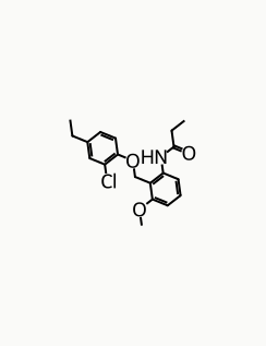 CCC(=O)Nc1cccc(OC)c1COc1ccc(CC)cc1Cl